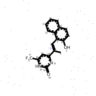 C/C(=C\c1c(O)ccc2ccccc12)c1cc(C(F)(F)F)[nH]c(=O)n1